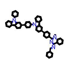 C=N/C(=N\C(=N/Cc1ccccc1)c1ccccc1)c1ccc(-c2ccc3c(c2)c2ccccc2n3-c2ccc(-c3ccc4c5ccccc5n(-c5ccccc5)c4c3)cc2)cc1